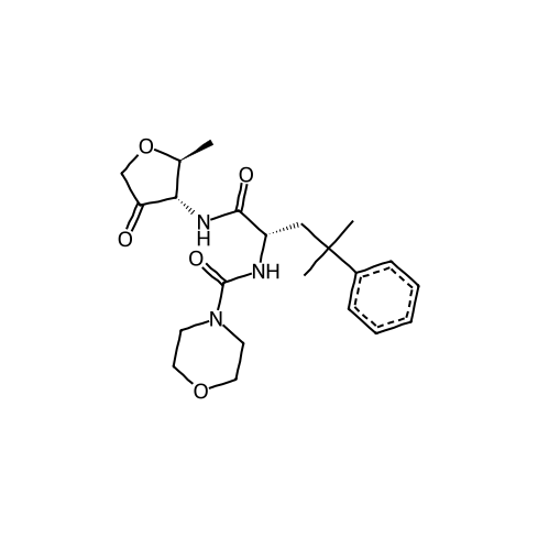 C[C@@H]1OCC(=O)[C@H]1NC(=O)[C@H](CC(C)(C)c1ccccc1)NC(=O)N1CCOCC1